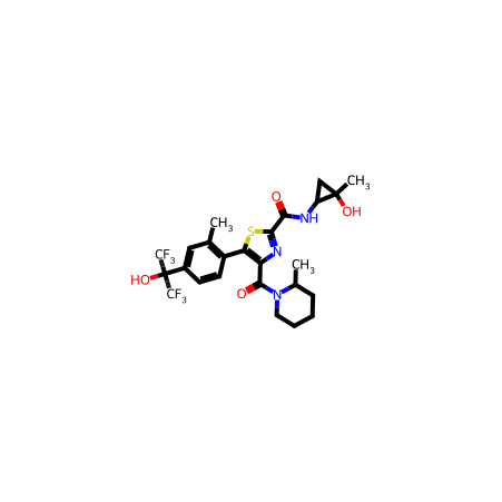 Cc1cc(C(O)(C(F)(F)F)C(F)(F)F)ccc1-c1sc(C(=O)NC2CC2(C)O)nc1C(=O)N1CCCCC1C